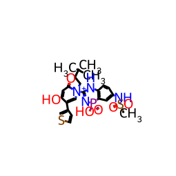 CC(C)(C)CC[N+]1(C2=NP(=O)(O)c3cc(NS(C)(=O)=O)ccc3N2)C=C(c2ccsc2)C(O)=CC1=O